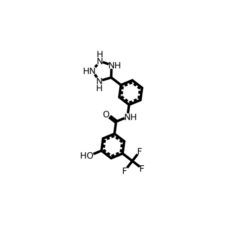 O=C(Nc1cccc(C2NNNN2)c1)c1cc(O)cc(C(F)(F)F)c1